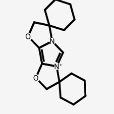 c1n2c(c3[n+]1C1(CCCCC1)CO3)OCC21CCCCC1